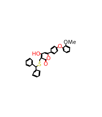 COc1ccccc1Oc1ccc(-c2cc(O)c(CSC(c3ccccc3)c3ccccc3)c(=O)o2)cc1